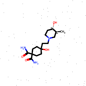 C[C@H]1CN(CCC2(O)CCC(C(N)=O)(C(N)=O)CC2)CC[C@@H]1O